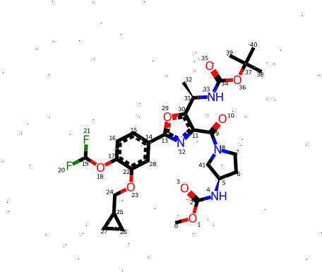 COC(=O)N[C@@H]1CCN(C(=O)c2nc(-c3ccc(OC(F)F)c(OCC4CC4)c3)oc2[C@@H](C)NC(=O)OC(C)(C)C)C1